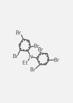 CCN(c1c(Br)cc(Br)cc1Br)c1c(Br)cc(Br)cc1Br